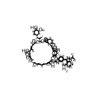 CO[C@@H]1C[C@@H](CC(C)[C@@H]2CC(=O)[C@H](C)/C=C(\C)[C@@H](O)[C@@H](OC)C(=O)[C@H](C)C[C@H](C)/C=C/C=C/C=C(/C)[C@H](Nc3nc4cc(-c5nn(C(C)C)c6ncnc(N)c56)ccc4o3)C[C@@H]3CC[C@@H](C)[C@@](O)(O3)C(=O)C(=O)N3CCCC[C@H]3C(=O)O2)CC[C@H]1O